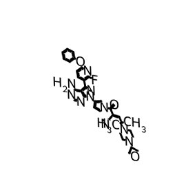 CC(C)(C=C(C#N)C(=O)n1ccc(-n2nc(-c3ccc(Oc4ccccc4)nc3F)c3c(N)ncnc32)c1)N1CCN(C2COC2)CC1